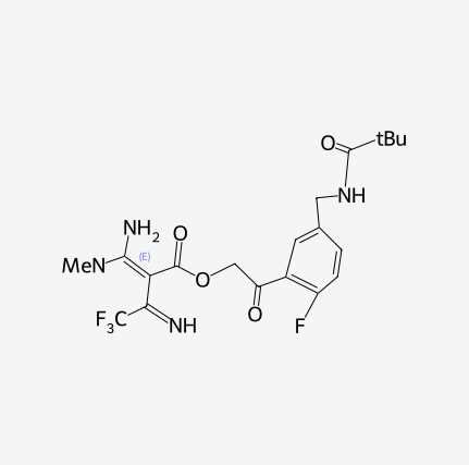 CN/C(N)=C(\C(=N)C(F)(F)F)C(=O)OCC(=O)c1cc(CNC(=O)C(C)(C)C)ccc1F